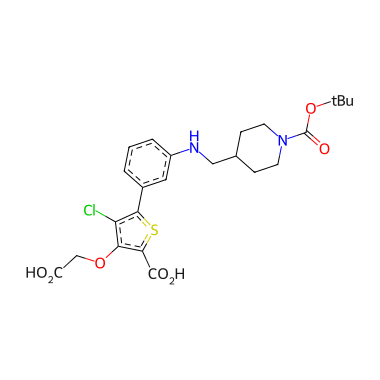 CC(C)(C)OC(=O)N1CCC(CNc2cccc(-c3sc(C(=O)O)c(OCC(=O)O)c3Cl)c2)CC1